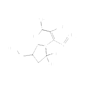 C=N/C(=C(\C)C(C)C)N1CC(OC)CC1(C)C